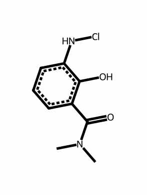 CN(C)C(=O)c1cccc(NCl)c1O